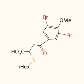 CCCCCCSC(CC(=O)c1cc(Br)c(OC)c(Br)c1)C(=O)O